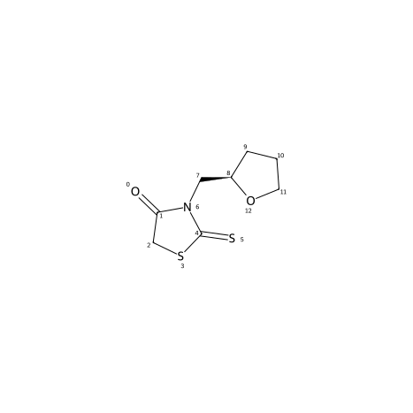 O=C1CSC(=S)N1C[C@H]1CCCO1